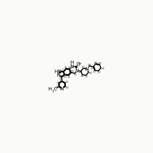 Cc1cc(-c2n[nH]c3cc4c(cc23)CN([C@@H]2CCCN(CC3=CCCC=C3)C2)C(=O)N4)ccn1